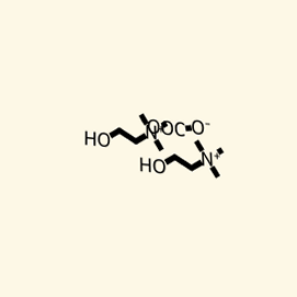 C[N+](C)(C)CCO.C[N+](C)(C)CCO.O=C([O-])[O-]